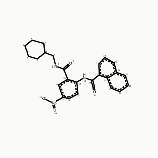 O=C(NCC1CCCCC1)c1cc([N+](=O)[O-])ccc1NC(=O)c1cccc2ccccc12